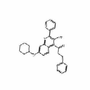 CC(C)c1c(-c2ccccc2)nc2cc(OC3CCCCC3)ccc2c1C(=O)CCc1ccccc1